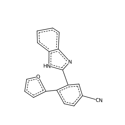 N#Cc1ccc(-c2ccco2)c(-c2nc3ccccc3[nH]2)c1